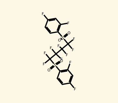 O=S(=O)(c1ccc(F)cc1F)C(F)(F)C(F)(F)C(F)(F)C(F)(F)S(=O)(=O)c1ccc(F)cc1F